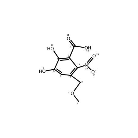 COCc1cc(O)c(O)c(C(=O)O)c1[N+](=O)[O-]